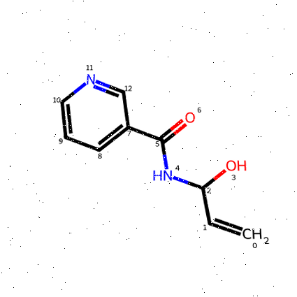 C=CC(O)NC(=O)c1cccnc1